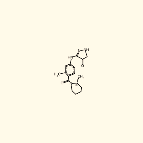 Cc1cc(NC2=NNCC2=O)ccc1C(=O)N1CCCC[C@@H]1C